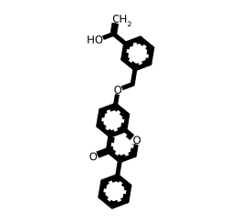 C=C(O)c1cccc(COc2ccc3c(=O)c(-c4ccccc4)coc3c2)c1